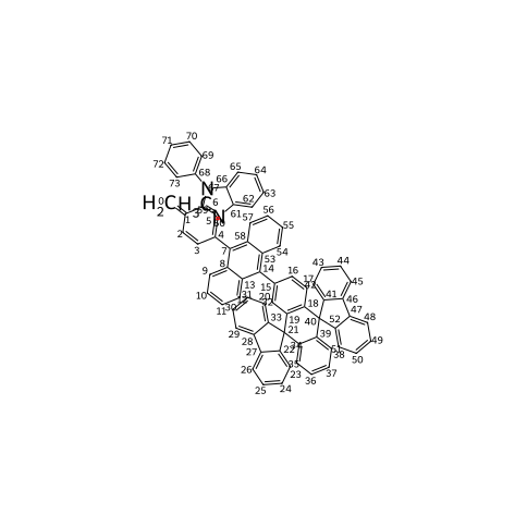 C=C(/C=C\C(=C/C)c1c2ccccc2c(-c2ccc3c(c2)C2(c4ccccc4-c4ccccc42)c2ccccc2C32c3ccccc3-c3ccccc32)c2ccccc12)c1nc2ccccc2n1-c1ccccc1